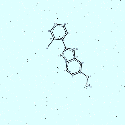 COc1ccc2nc(-c3ccncc3I)oc2c1